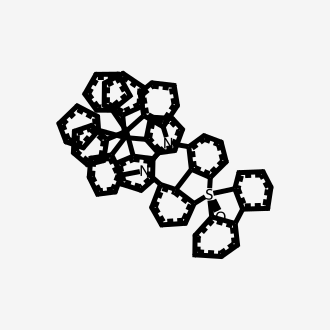 O=S12(c3ccccc3-c3ccccc31)c1cccc(N3c4ccccc4C(c4ccccc4)(c4ccccc4)c4ccccc43)c1-c1c(N3c4ccccc4C(c4ccccc4)(c4ccccc4)c4ccccc43)cccc12